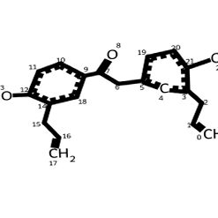 C=CCc1cc(CC(=O)c2ccc(O)c(CC=C)c2)ccc1O